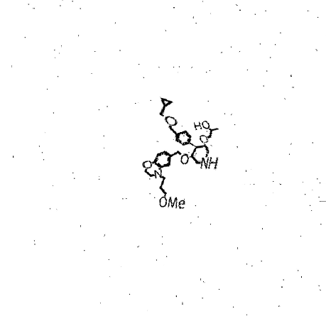 COCCCN1CCOc2ccc(CO[C@H]3CNC[C@@H](OCC(C)O)[C@@H]3c3ccc(COCC4CC4)cc3)cc21